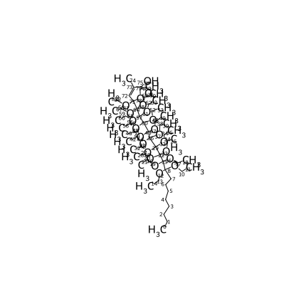 CCCCCCCCC(OCC)(OCC)C(OCC)(OCC)C(OCC)(OCC)C(OCC)(OCC)C(OCC)(OCC)C(OCC)(OCC)C(OCC)(OCC)C(OCC)(OCC)C(OCC)(OCC)C(C=C(C)C(=O)O)(OCC)OCC